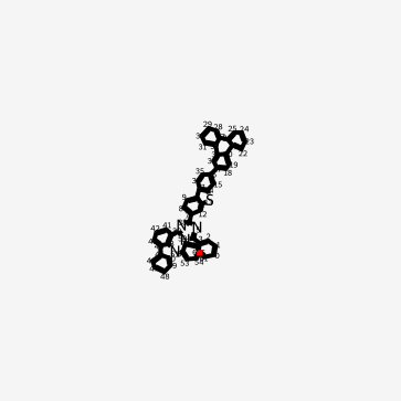 c1ccc(-c2nc(-c3ccc4c(c3)sc3cc(-c5ccc6c7ccccc7c7ccccc7c6c5)ccc34)nc(-c3cccc4c5ccccc5n(-c5ccccc5)c34)n2)cc1